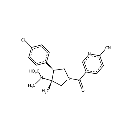 CN(C(=O)O)[C@@]1(C)CN(C(=O)c2ccc(C#N)nc2)C[C@@H]1c1ccc(Cl)cc1